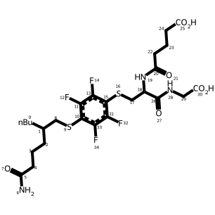 CCCCC(CCCC(N)=O)CSc1c(F)c(F)c(SCC(NC(=O)CCCC(=O)O)C(=O)NCC(=O)O)c(F)c1F